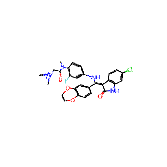 CN(C)CC(=O)N(C)c1ccc(NC(=C2C(=O)Nc3cc(Cl)ccc32)c2ccc3c(c2)OCCO3)cc1F